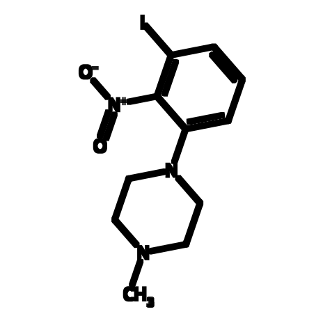 CN1CCN(c2cccc(I)c2[N+](=O)[O-])CC1